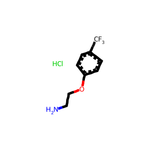 Cl.NCCOc1ccc(C(F)(F)F)cc1